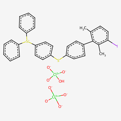 Cc1ccc(I)c(C)c1-c1ccc(Sc2ccc([S+](c3ccccc3)c3ccccc3)cc2)cc1.[O-][Cl+3]([O-])([O-])O.[O-][Cl+3]([O-])([O-])[O-]